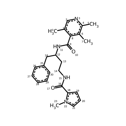 Cc1cnc(C)c(C)c1C(=O)NC(CCNC(=O)c1cccn1C)Cc1ccccc1